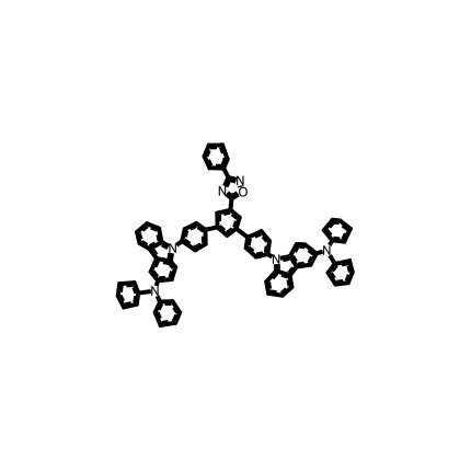 c1ccc(-c2noc(-c3cc(-c4ccc(-n5c6ccccc6c6cc(N(c7ccccc7)c7ccccc7)ccc65)cc4)cc(-c4ccc(-n5c6ccccc6c6cc(N(c7ccccc7)c7ccccc7)ccc65)cc4)c3)n2)cc1